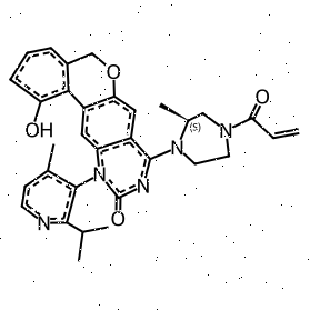 C=CC(=O)N1CCN(c2nc(=O)n(-c3c(C)ccnc3C(C)C)c3cc4c(cc23)OCc2cccc(O)c2-4)[C@@H](C)C1